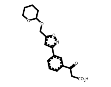 O=C(O)CC(=O)c1cccc(-c2cc(COC3CCCCO3)on2)c1